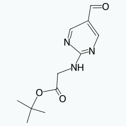 CC(C)(C)OC(=O)CNc1ncc(C=O)cn1